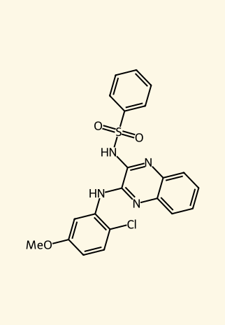 COc1ccc(Cl)c(Nc2nc3ccccc3nc2NS(=O)(=O)c2ccccc2)c1